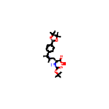 C/C(C[C@H](NC(=O)OC(C)(C)C)C(=O)O)=C(\C)c1ccc(B2OC(C)(C)C(C)(C)O2)cc1